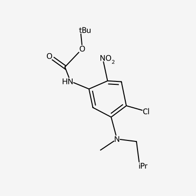 CC(C)CN(C)c1cc(NC(=O)OC(C)(C)C)c([N+](=O)[O-])cc1Cl